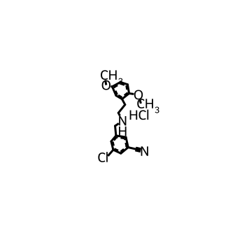 COc1ccc(OC)c(CCNCc2cc(Cl)cc(C#N)c2)c1.Cl